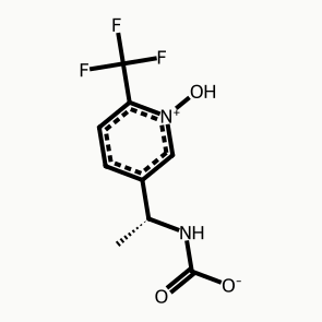 C[C@@H](NC(=O)[O-])c1ccc(C(F)(F)F)[n+](O)c1